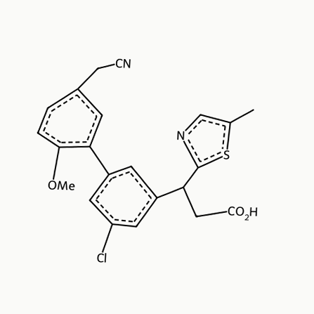 COc1ccc(CC#N)cc1-c1cc(Cl)cc(C(CC(=O)O)c2ncc(C)s2)c1